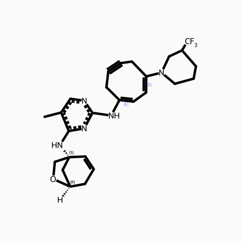 Cc1cnc(N/C2=C/C=C(/N3CCCC(C(F)(F)F)C3)CC#CC2)nc1N[C@]12C=CC[C@H](C1)OC2